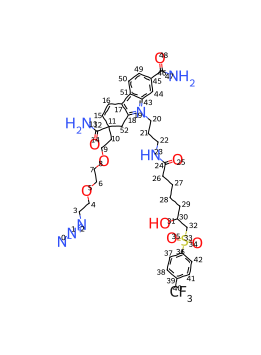 [N-]=[N+]=NCCOCCOCCC1(C(N)=O)C=Cc2c(n(CCCNC(=O)CCCCC(O)CS(=O)(=O)c3ccc(C(F)(F)F)cc3)c3cc(C(N)=O)ccc23)C1